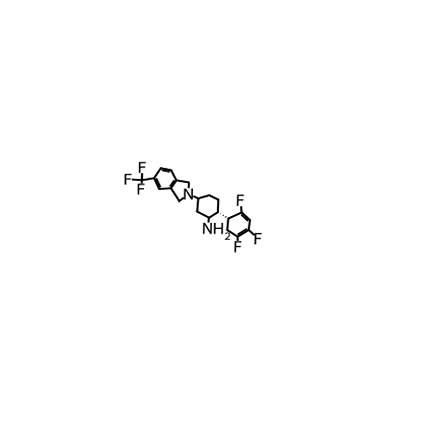 NC1CC(N2Cc3ccc(C(F)(F)F)cc3C2)CC[C@@H]1C1CC(F)=C(F)C=C1F